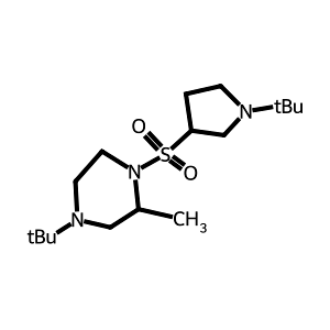 CC1CN(C(C)(C)C)CCN1S(=O)(=O)C1CCN(C(C)(C)C)C1